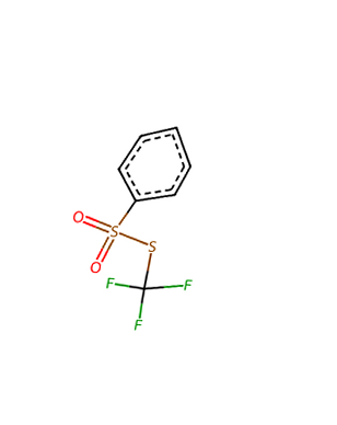 O=S(=O)(SC(F)(F)F)c1ccccc1